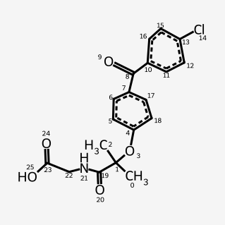 CC(C)(Oc1ccc(C(=O)c2ccc(Cl)cc2)cc1)C(=O)NCC(=O)O